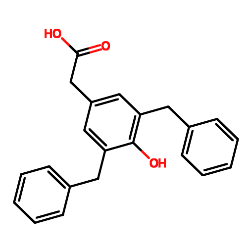 O=C(O)Cc1cc(Cc2ccccc2)c(O)c(Cc2ccccc2)c1